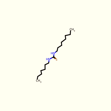 CCCCCCCCNC(=S)NCCCCCCC